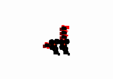 O=[N+]([O-])c1ccc(C[P+](c2ccccc2)(c2ccccc2)c2ccccc2)cc1.O=[N+]([O-])c1ccc(C[P+](c2ccccc2)(c2ccccc2)c2ccccc2)cc1.[O]=[Mn](=[O])([O-])[Br].[O]=[Mn](=[O])([O-])[Br].[O]=[Mn](=[O])([OH])[Br].[O]=[Mn](=[O])([OH])[Br]